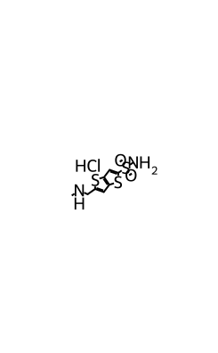 CNCc1cc2sc(S(N)(=O)=O)cc2s1.Cl